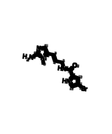 Cn1c(C=CCNC(=O)c2cc(Br)c[nH]2)cnc1N